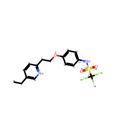 CCc1ccc(CCOc2ccc(NS(=O)(=O)C(F)(F)F)cc2)nc1